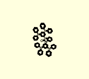 O=c1n(-c2cc(N(c3ccccc3)c3ccccc3)cc(N(c3ccccc3)c3ccccc3)c2)c2ccccc2n1-c1cc(N(c2ccccc2)c2ccccc2)cc(N(c2ccccc2)c2ccccc2)c1